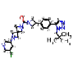 CC(C)(C)Cn1nncc1-c1ccc(C2CN(C(=O)N3CC4(C3)CN(c3cncc(F)c3)C4)C2)cc1